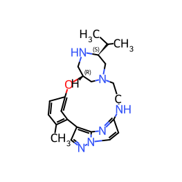 Cc1ccc2cc1-c1cnn3ccc(nc13)NCCN1C[C@@H](CN[C@@H](C(C)C)C1)O2